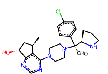 C[C@@H]1C[C@@H](O)c2ncnc(N3CCN([C@@](C=O)(c4ccc(Cl)cc4)[C@H]4CCCN4)CC3)c21